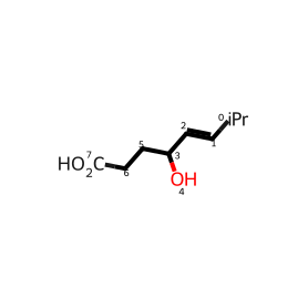 CC(C)/C=C/C(O)CCC(=O)O